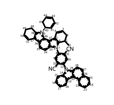 CC1CC=Cc2c1n(-c1cc(C#N)c(-n3c4ccccc4c4c5ccccc5ccc43)cc1C#N)c1ccc3c4c(n([C@@H]5C=CC=CC5)c3c21)CCC=C4